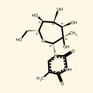 Cc1cn([C@@H]2O[C@H](CO)[C@@H](O)[C@@H](O)[C@@H](O)[C@@]2(C)O)c(=O)[nH]c1=O